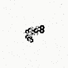 C=CC(=O)N1CC(/C=[N+](/C)c2nc(OCC34CCCN3CCC4)nc3c(F)c(-c4cccc5cccc(Cl)c45)ncc23)C[C@H]1C